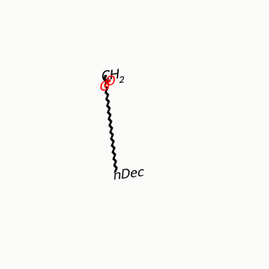 C=CC(=O)OCCCCCCCCCCCCCCCCCCCCCCCCCCCCCCCCCCCC